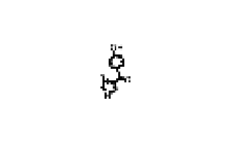 Cn1cncc1C(=O)c1ccc(O)cc1